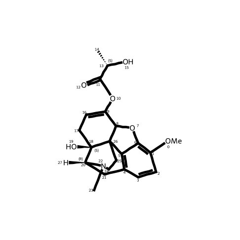 COc1ccc2c3c1OC1C(OC(=O)[C@H](C)O)=CC[C@@]4(O)[C@@H](C2)N(C)CCC314